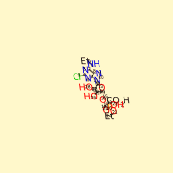 CCNc1nc(Cl)nc2c1ncn2[C@@H]1O[C@H](COC(C)(C(=O)O)P(=O)(O)OCC)[C@H](O)[C@H]1O